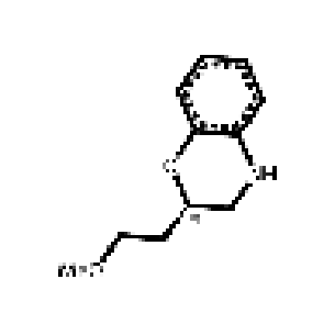 COCC[C@@H]1CNc2ccccc2O1